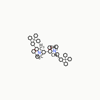 Cc1cc(-c2cc(C)c(N(c3ccc(-c4ccc5c(c4)C(c4ccccc4)(c4ccccc4)c4ccccc4-5)cc3)c3ccccc3-c3ccccc3)c(C)c2)cc(C)c1N(c1ccc(-c2ccc3c(c2)C(c2ccccc2)(c2ccccc2)c2ccccc2-3)cc1)c1ccccc1-c1ccccc1